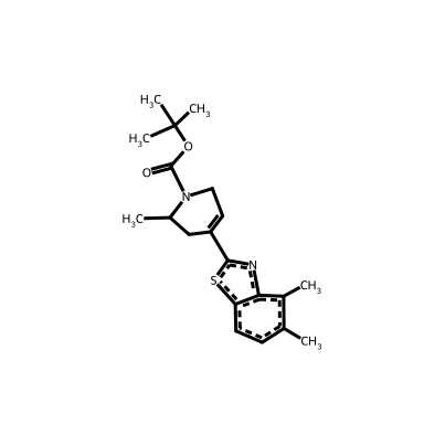 Cc1ccc2sc(C3=CCN(C(=O)OC(C)(C)C)C(C)C3)nc2c1C